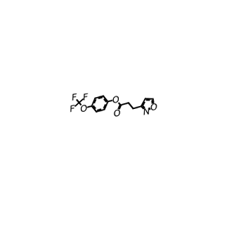 O=C(CCc1ccon1)Oc1ccc(OC(F)(F)F)cc1